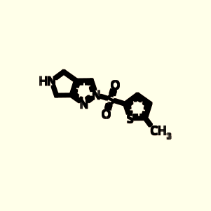 Cc1ccc(S(=O)(=O)n2cc3c(n2)CNC3)s1